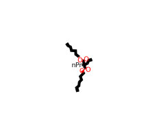 C=CCCCCCOC(=O)C(CC=C)(CCC)C(=O)OCCCCCC=C